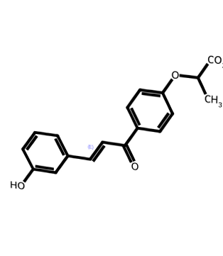 CC(Oc1ccc(C(=O)/C=C/c2cccc(O)c2)cc1)C(=O)O